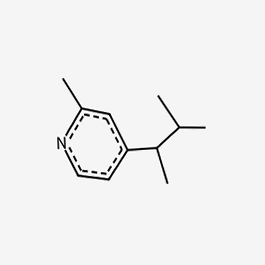 Cc1cc(C(C)C(C)C)ccn1